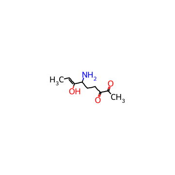 CC=C(O)C(N)CCC(=O)C(C)=O